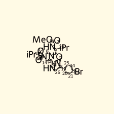 COC(=O)NC(C(=O)N1CN(S(=O)(=O)C(C)C)C[C@H]1c1nc(-c2ccc(Br)cc2)c[nH]1)C(C)C